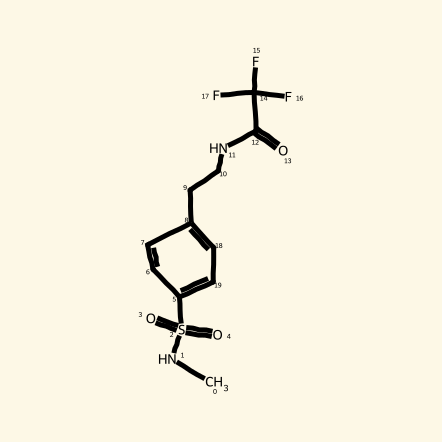 CNS(=O)(=O)c1ccc(CCNC(=O)C(F)(F)F)cc1